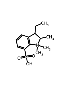 CCC1c2cccc(S(=O)(=O)O)c2[N+](C)(C)C1C